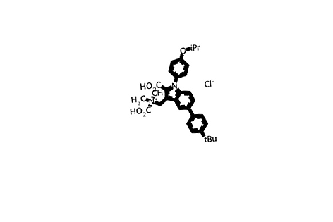 CC(C)Oc1ccc(-n2c(C(=O)O)c(C[N+](C)(C)C(=O)O)c3cc(-c4ccc(C(C)(C)C)cc4)ccc32)cc1.[Cl-]